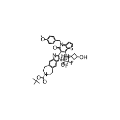 COc1ccc(Cn2c(=O)c(-c3nc4cc5c(cc4n3S(=O)(=O)C(F)(F)F)CCN(C(=O)OC(C)(C)C)CC5)c(NC3CC(O)C3)c3sccc32)cc1